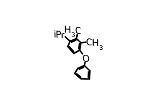 Cc1c(Oc2ccccc2)ccc(C(C)C)c1C